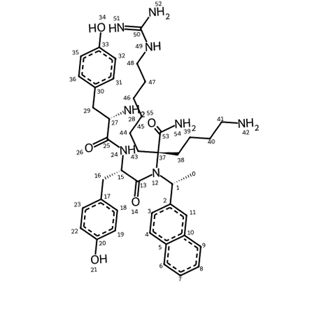 C[C@H](c1ccc2ccccc2c1)N(C(=O)[C@H](Cc1ccc(O)cc1)NC(=O)[C@@H](N)Cc1ccc(O)cc1)[C@](CCCCN)(CCCCCCNC(=N)N)C(N)=O